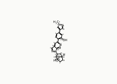 Cn1cc(-c2ccc(-c3cc4cnn(C5C[C@H]6CC[C@@H](C5)N6)c4nn3)c(O)c2)cn1